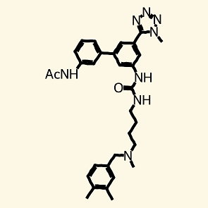 CC(=O)Nc1cccc(-c2cc(NC(=O)NCCCCN(C)Cc3ccc(C)c(C)c3)cc(-c3nnnn3C)c2)c1